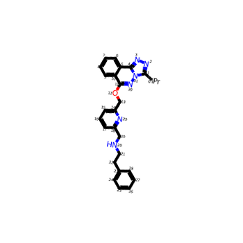 CC(C)c1nnc2c3ccccc3c(OCc3cccc(CNCCc4ccccc4)n3)nn12